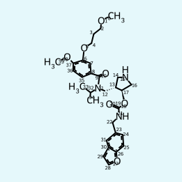 COCCCOc1cc(C(=O)N(C[C@@H]2CNC[C@H]2OC(=O)NCc2ccc3occc3c2)C(C)C)ccc1OC